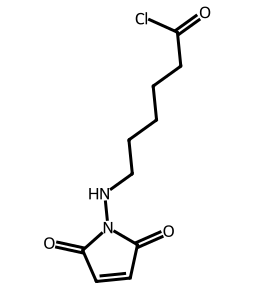 O=C(Cl)CCCCCNN1C(=O)C=CC1=O